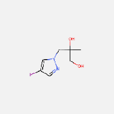 CC(O)(CO)Cn1cc(I)cn1